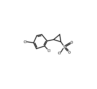 O=S(=O)(Cl)C1CC1c1ccc(Cl)cc1Cl